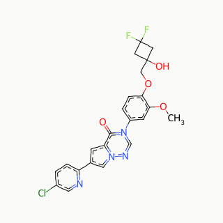 COc1cc(-n2cnn3cc(-c4ccc(Cl)cn4)cc3c2=O)ccc1OCC1(O)CC(F)(F)C1